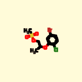 CC(COS(C)(=O)=O)Oc1cc(Br)ccc1Cl